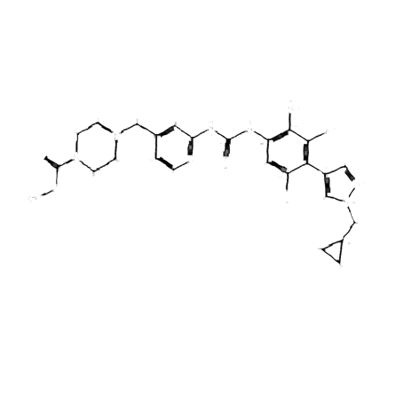 CC(C)(C)OC(=O)N1CCN(Cc2ccnc(NC(=S)Nc3cc(F)c(-c4cnn(CC5CC5)c4)c(F)c3N)c2)CC1